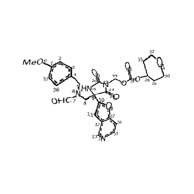 COc1ccc(CN(C=O)C[C@@]2(c3cc4cnccc4o3)NC(=O)N(COC(=O)OC3CCOCC3)C2=O)cc1